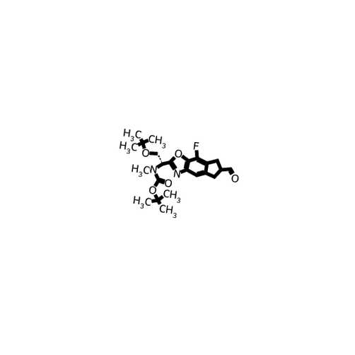 CN(C(=O)OC(C)(C)C)[C@H](COC(C)(C)C)c1nc2cc3c(c(F)c2o1)CC(C=O)C3